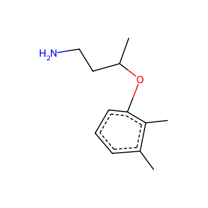 Cc1cccc(OC(C)CCN)c1C